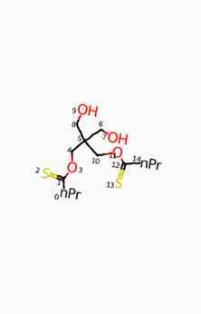 CCCC(=S)OCC(CO)(CO)COC(=S)CCC